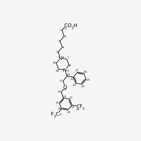 O=C(O)CCCCCN1CCN(C(COCc2cc(C(F)(F)F)cc(C(F)(F)F)c2)c2ccccc2)CC1